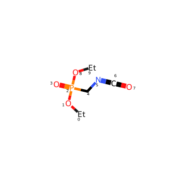 CCOP(=O)(CN=C=O)OCC